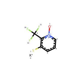 [K+].[O-][n+]1cccc([S-])c1C(F)(F)F